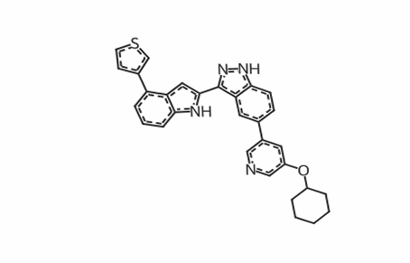 c1cc(-c2ccsc2)c2cc(-c3n[nH]c4ccc(-c5cncc(OC6CCCCC6)c5)cc34)[nH]c2c1